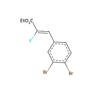 CCOC(=O)/C(F)=C/c1ccc(Br)c(Br)c1